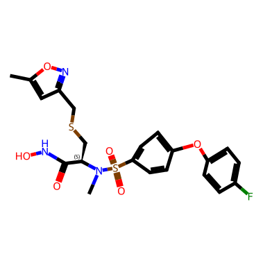 Cc1cc(CSC[C@H](C(=O)NO)N(C)S(=O)(=O)c2ccc(Oc3ccc(F)cc3)cc2)no1